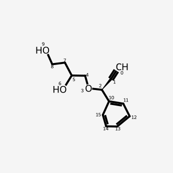 C#C[C@H](OCC(O)CCO)c1ccccc1